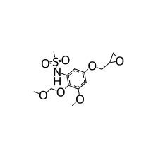 COCOc1c(NS(C)(=O)=O)cc(OCC2CO2)cc1OC